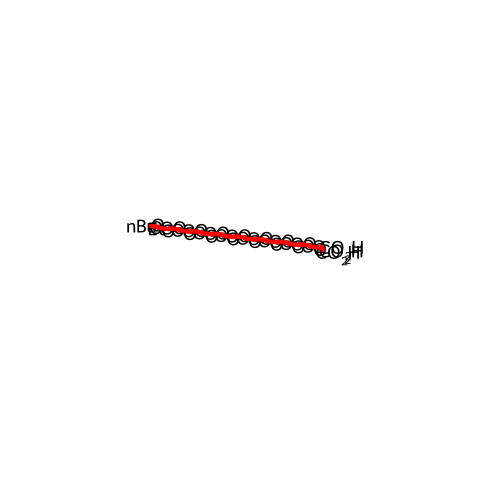 CCCCC(CC)COC(=O)CCCCCOC(=O)CCCCCOC(=O)CCCCCOC(=O)CCCCCOC(=O)CCCCCOC(=O)CCCCCOC(=O)CCCCCOC(=O)CCCCCOC(=O)CCCCCOC(=O)CCCCCOC(=O)CCCCCOC(=O)CCCCCOC(=O)CCCCCOC(=O)CCCCCOC(=O)CCCCCOC(=O)CC(C(=O)O)C(CC(=O)O)C(=O)O